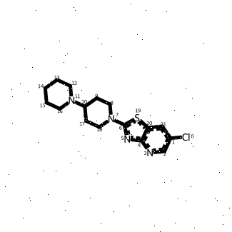 Clc1cnc2nc(N3CCC(N4CCCCC4)CC3)sc2c1